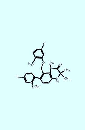 COc1cc(F)ccc1-c1ccc2c(c1COc1cc(F)ccc1C)N(C)C(=O)C(C)(C)N2